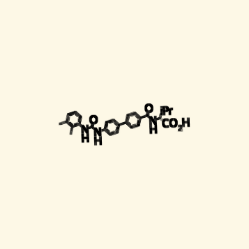 Cc1cccc(NC(=O)Nc2ccc(-c3ccc(C(=O)N[C@@H](C(=O)O)C(C)C)cc3)cc2)c1C